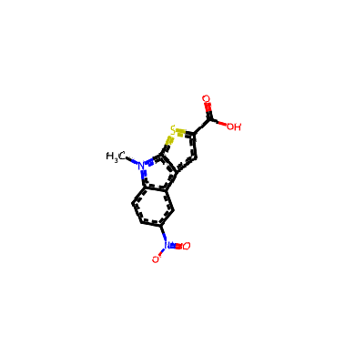 Cn1c2ccc([N+](=O)[O-])cc2c2cc(C(=O)O)sc21